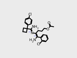 CC(=O)OCCCC(/N=C(\N)C1(c2ccc(Cl)cc2)CCC1)=C(/N)c1ccccc1Cl